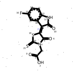 O=C(O)CN1C(=O)/C(=C2\C(=O)Nc3ccc(F)cc32)SC1=S